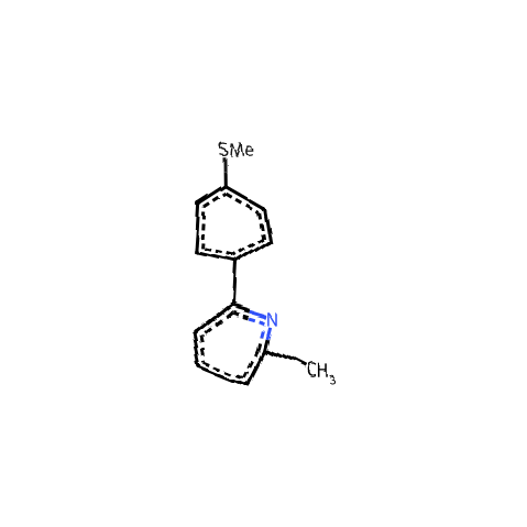 CSc1ccc(-c2cccc(C)n2)cc1